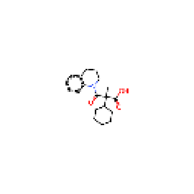 CC(C(=O)O)(C(=O)N1CCCc2ccccc21)C1CCCCC1